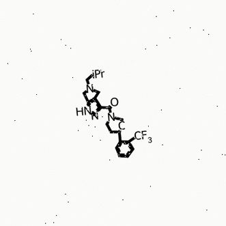 CC(C)CN1Cc2[nH]nc(C(=O)N3CCC(c4ccccc4C(F)(F)F)CC3)c2C1